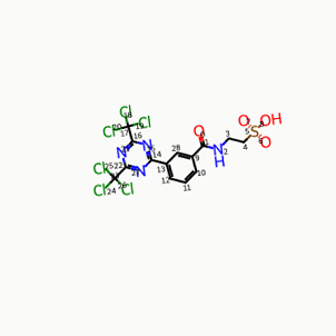 O=C(NCCS(=O)(=O)O)c1cccc(-c2nc(C(Cl)(Cl)Cl)nc(C(Cl)(Cl)Cl)n2)c1